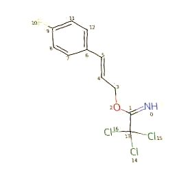 N=C(OCC=Cc1ccc(F)cc1)C(Cl)(Cl)Cl